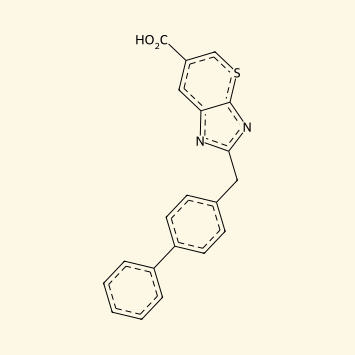 O=C(O)c1csc2nc(Cc3ccc(-c4ccccc4)cc3)nc-2c1